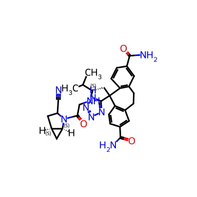 CC(C)[C@H](CC1(c2nnn[nH]2)c2ccc(C(N)=O)cc2CCc2cc(C(N)=O)ccc21)NCC(=O)N1C(C#N)C[C@@H]2C[C@@H]21